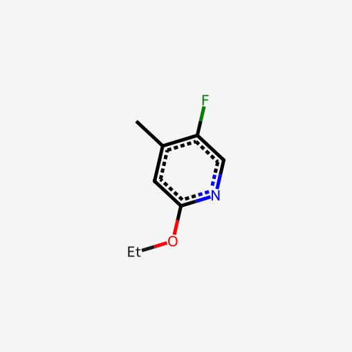 CCOc1cc(C)c(F)cn1